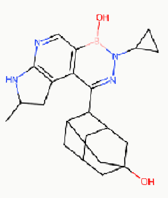 CC1Cc2c(ncc3c2C(C2C4CC5CC2CC(O)(C5)C4)=NN(C2CC2)B3O)N1